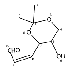 CC1(C)OCC(O)C(/C=C\C=O)O1